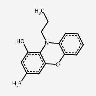 Bc1cc(O)c2c(c1)Oc1ccccc1N2CCC